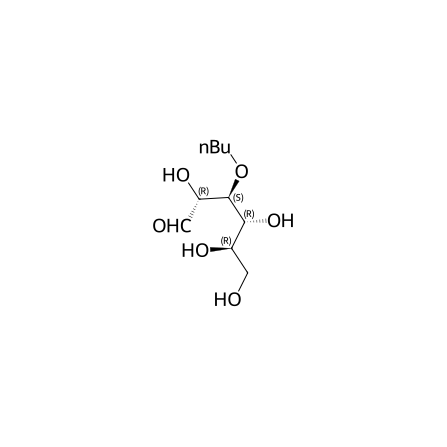 CCCCO[C@@H]([C@H](O)[C@H](O)CO)[C@@H](O)C=O